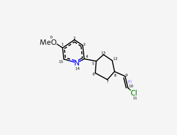 COc1ccc(C2CCC(/C=C/Cl)CC2)nc1